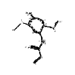 C=CC(=O)Nc1cc(OC)c(N)cc1OC